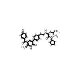 CC(C)C[C@H](NCCc1ccc(-c2cc(C(=O)c3ccc(Cl)cc3)c(N)[nH]c2=O)cc1)C(=O)OC1CCCC1